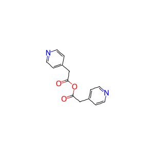 O=C(Cc1ccncc1)OC(=O)Cc1ccncc1